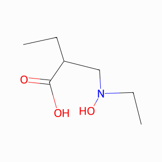 CCC(CN(O)CC)C(=O)O